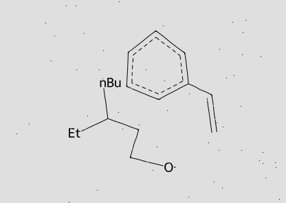 C=Cc1ccccc1.CCCCC(CC)CC[O]